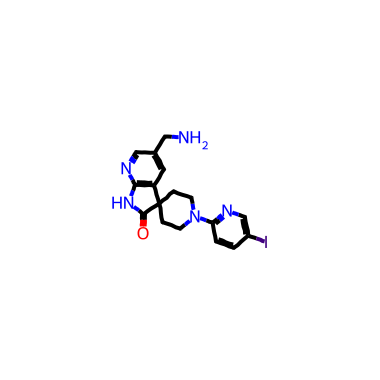 NCc1cnc2c(c1)C1(CCN(c3ccc(I)cn3)CC1)C(=O)N2